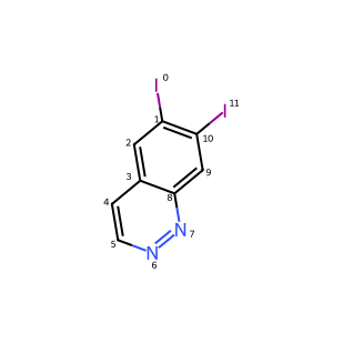 Ic1cc2ccnnc2cc1I